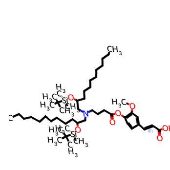 CCCCCCCCCCC(CN(CCCC(=O)Oc1ccc(/C=C/C(=O)O)cc1OC)CC(CCCCCCCCCC)O[Si](C)(C)C(C)(C)C)O[Si](C)(C)C(C)(C)C